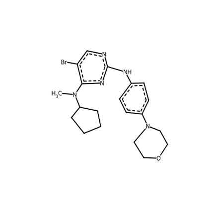 CN(c1nc(Nc2ccc(N3CCOCC3)cc2)ncc1Br)C1CCCC1